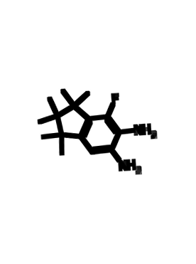 CC1(C)c2cc(N)c(N)c(F)c2C(C)(C)C1(C)C